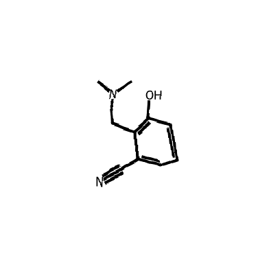 CN(C)Cc1c(O)cccc1C#N